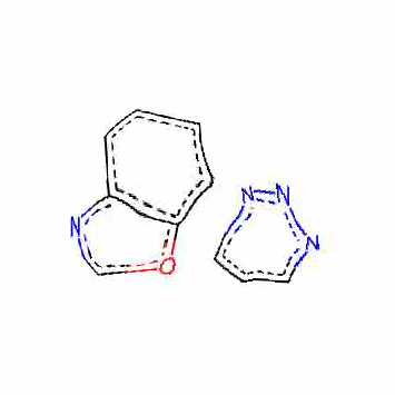 c1ccc2ocnc2c1.c1cnnnc1